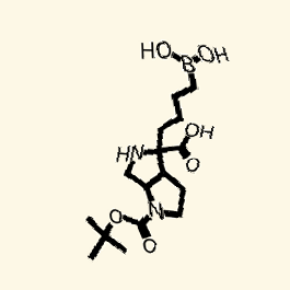 CC(C)(C)OC(=O)N1CCC2C1CNC2(CCCCB(O)O)C(=O)O